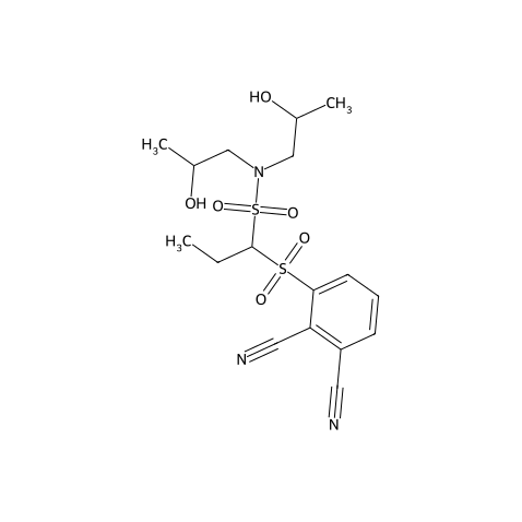 CCC(S(=O)(=O)c1cccc(C#N)c1C#N)S(=O)(=O)N(CC(C)O)CC(C)O